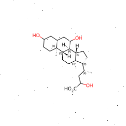 C[C@H](CC(O)C(=O)O)[C@H]1CC[C@H]2[C@@H]3C(O)CC4CC(O)CC[C@]4(C)[C@H]3CC[C@]12C